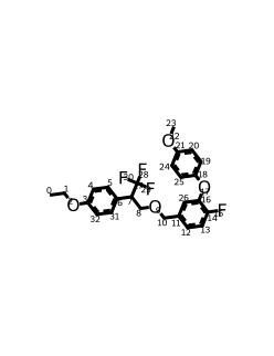 CCOc1ccc(C(COCc2ccc(F)c(Oc3ccc(OC)cc3)c2)C(F)(F)F)cc1